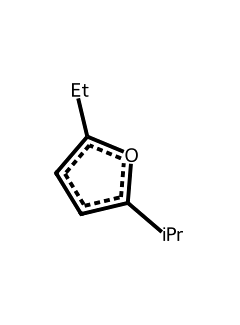 CCc1ccc(C(C)C)o1